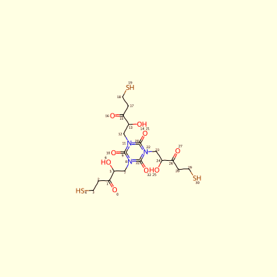 O=C(CCS)C(O)Cn1c(=O)n(CC(O)C(=O)CCS)c(=O)n(CC(O)C(=O)CCS)c1=O